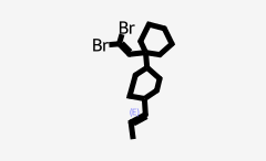 C/C=C/C1CCC(C2(C=C(Br)Br)CCCCC2)CC1